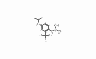 CC(C)Oc1ccc(OB(O)O)c(C(F)(F)F)c1